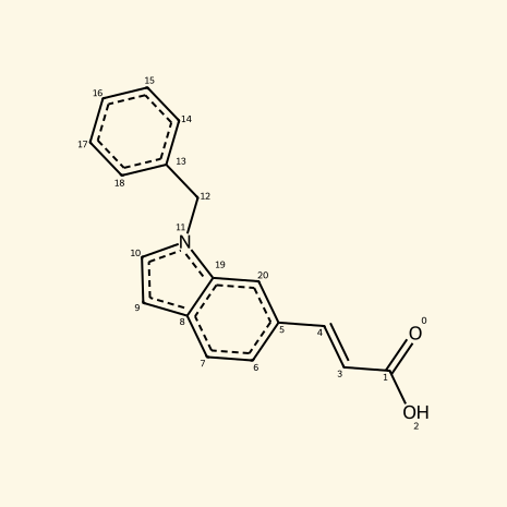 O=C(O)C=Cc1ccc2ccn(Cc3ccccc3)c2c1